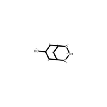 OC1CC2CC(C1)OBO2